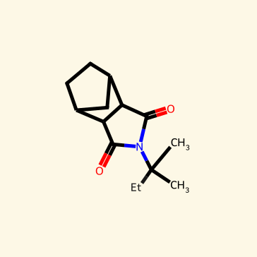 CCC(C)(C)N1C(=O)C2C3CCC(C3)C2C1=O